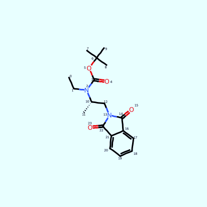 CCN(C(=O)OC(C)(C)C)[C@@H](C)CN1C(=O)c2ccccc2C1=O